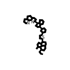 C=c1ccc2c(-c3ccc(-c4cccc(-c5ccc(-c6ccc7ccc8cccnc8c7n6)c6ccccc56)c4)s3)ccc3ccc(/C=C\C)c1c32